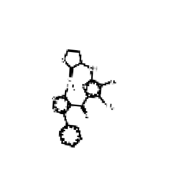 Cc1onc(-c2ccccc2)c1C(=O)c1sc(NC2CCOC2=O)c(C#N)c1N